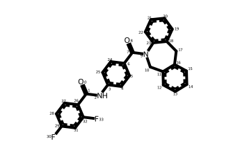 O=C(Nc1ccc(C(=O)N2Cc3ccccc3Cc3ccccc32)cc1)c1ccc(F)cc1F